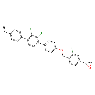 C=Cc1ccc(-c2ccc(-c3ccc(OCc4ccc(C5CO5)cc4F)cc3)c(F)c2F)cc1